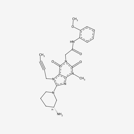 CC#CCn1c(N2CCC[C@@H](N)C2)nc2c1c(=O)n(CC(=O)Nc1ccccc1OC)c(=O)n2C